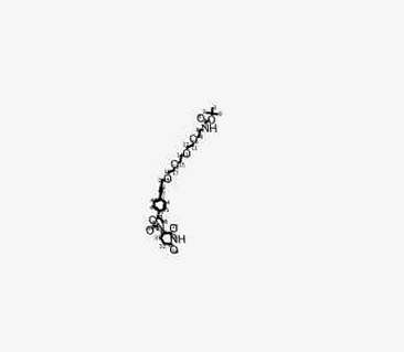 CC(C)(C)OC(=O)NCCOCCOCCOCCOCC#Cc1ccc([C@H]2CN([C@H]3CCC(=O)NC3=O)C(=O)O2)cc1